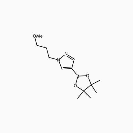 COCCCn1cc(B2OC(C)(C)C(C)(C)O2)cn1